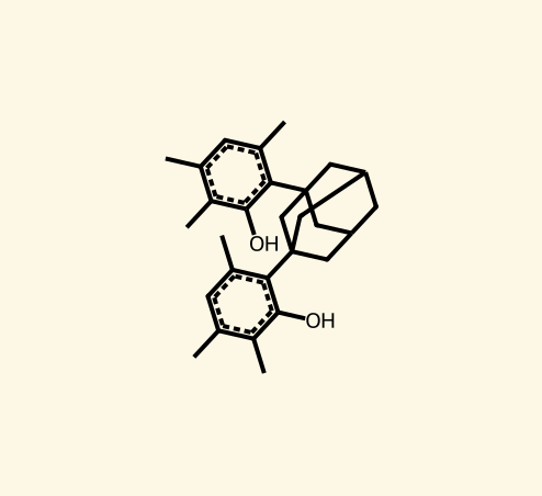 Cc1cc(C)c(C23CC4CC(C2)CC(c2c(C)cc(C)c(C)c2O)(C4)C3)c(O)c1C